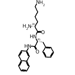 NCCCC[C@@H](N)C(=O)N[C@H](Cc1ccccc1)C(=O)Nc1ccc2ccccc2c1